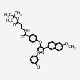 COc1ccc2cc(-c3nn(-c4cccc(Cl)c4)cc3Oc3ccc(C(=O)NCCC(=O)OC(C)(C)C)cc3)ccc2c1